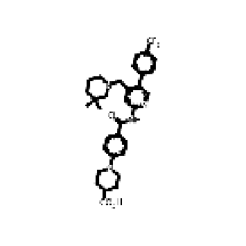 CC1(C)CCCN(Cc2cc(NC(=O)c3ccc(N4CCC(C(=O)O)CC4)cc3)ncc2-c2ccc(C(F)(F)F)cc2)C1